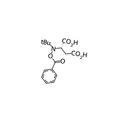 CC(C)(C)N(OC(=O)c1ccccc1)[C@@H](CC(=O)O)C(=O)O